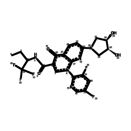 CCC(NC(=O)c1cn(-c2ncc(F)cc2F)c2nc(N3C[C@@H](O)[C@H](O)C3)ccc2c1=O)C(F)(F)F